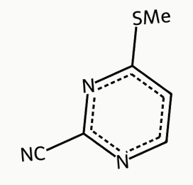 CSc1ccnc(C#N)n1